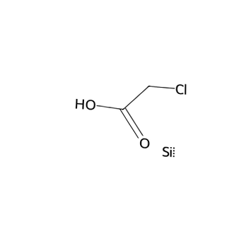 O=C(O)CCl.[Si]